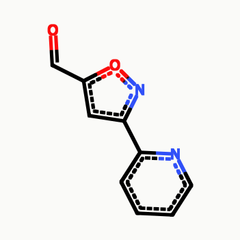 O=Cc1cc(-c2ccccn2)no1